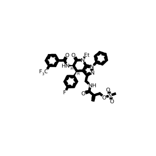 C=C(COS(C)(=O)=O)C(=O)NCc1nn(-c2ccccc2)c2c1[C@@H](c1ccc(F)cc1)[C@@H](NC(=O)c1cccc(C(F)(F)F)c1)C(=O)N2CC